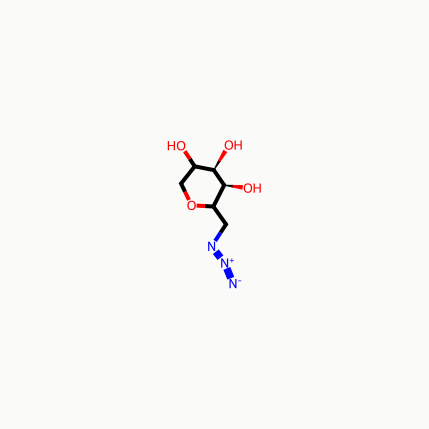 [N-]=[N+]=NCC1OCC(O)[C@@H](O)[C@H]1O